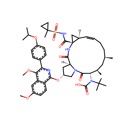 COc1ccc2c(O[C@@H]3C[C@H]4C(=O)N[C@]5(C(=O)NS(=O)(=O)C6(C)CC6)C[C@H]5/C=C\CC[C@@H](C)C[C@@H](C)[C@H](N(C(=O)O)C(C)(C)C)C(=O)N4C3)nc(-c3ccc(OC(C)C)cc3)c(OC)c2c1